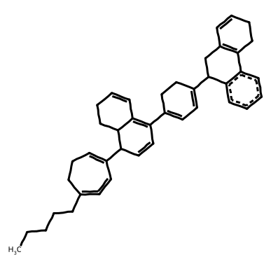 CCCCCC1=C=CC(C2C=CC(C3=CC=C(C4CC5=C(CCC=C5)c5ccccc54)CC3)=C3C=CCCC32)=CCC1